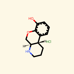 Cl.Oc1cccc2c1OC[C@@H]1NCCC[C@@H]21